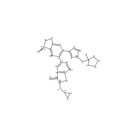 CC1(Cn2cc(-c3cc4c(nc3-c3cnc5c(c3)C(=O)N(CC3CC3)C5)[C@@H](F)CC4)cn2)CCCC1